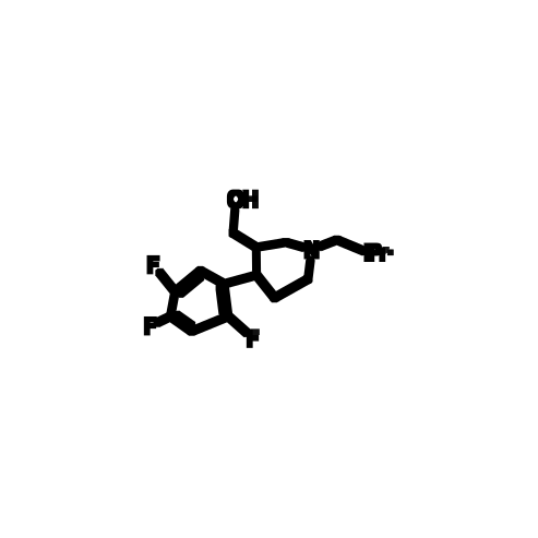 C[C](C)CN1CCC(c2cc(F)c(F)cc2F)C(CO)C1